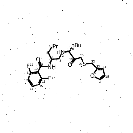 CCCCC(NCC(CC(C)C)NC(=O)c1c(F)cccc1F)C(=O)CSCc1ccco1